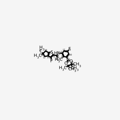 Cc1c(NC(=O)c2sc3c(c2F)CC(C)(C)C3)cc(F)cc1B1OC(C)(C)C(C)(C)O1